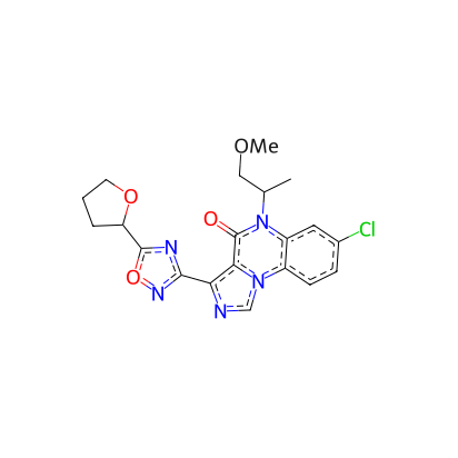 COCC(C)n1c(=O)c2c(-c3noc(C4CCCO4)n3)ncn2c2ccc(Cl)cc21